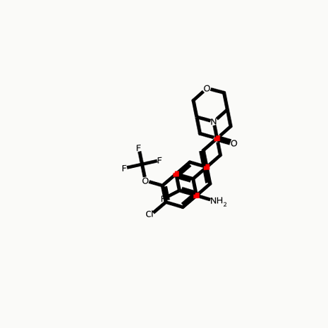 Nc1cc(Cl)c(OC(F)(F)F)cc1C=CC(=O)N1C2COCC1CN(Cc1ccc(F)cc1)C2